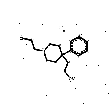 COCCC1(c2ccccc2)CCN(CCCl)CC1.Cl